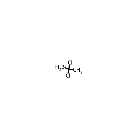 BC(C)(Cl)Cl